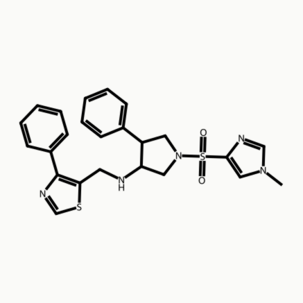 Cn1cnc(S(=O)(=O)N2CC(NCc3scnc3-c3ccccc3)C(c3ccccc3)C2)c1